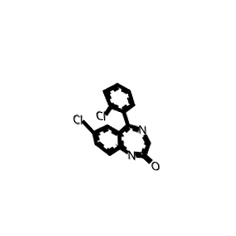 O=c1cnc(-c2ccccc2Cl)c2cc(Cl)ccc2n1